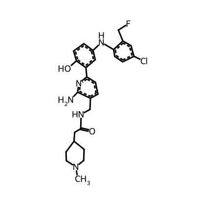 CN1CCC(CC(=O)NCc2ccc(-c3cc(Nc4ccc(Cl)cc4CF)ccc3O)nc2N)CC1